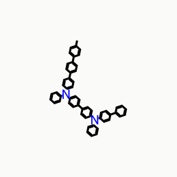 Cc1ccc(-c2ccc(-c3ccc(N(c4ccccc4)c4ccc(-c5ccc(N(c6ccccc6)c6ccc(-c7ccccc7)cc6)cc5)cc4)cc3)cc2)cc1